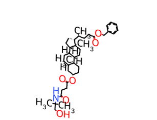 C[C@H](CCC(=O)OCc1ccccc1)[C@H]1CC[C@H]2[C@@H]3CC[C@@H]4C[C@@H](OC(=O)CCC(=O)NC(C)(C)CO)CC[C@]4(C)[C@H]3CC[C@]12C